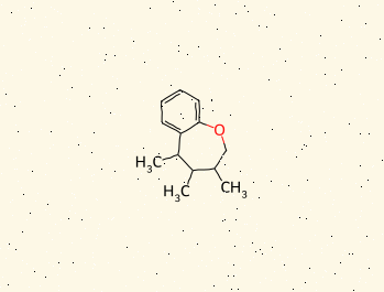 CC1COc2ccccc2C(C)C1C